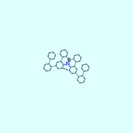 c1ccc(-c2ccccc2-c2cc3c4c(c2)c2cc(-c5ccccc5-c5ccccc5)cc5c2n4B(c2ccccc2-3)c2ccccc2-5)cc1